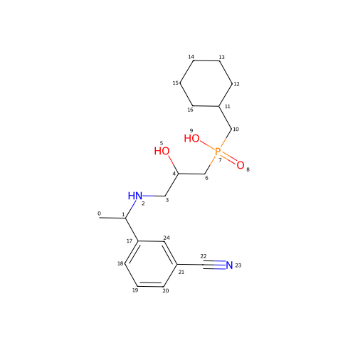 CC(NCC(O)CP(=O)(O)CC1CCCCC1)c1cccc(C#N)c1